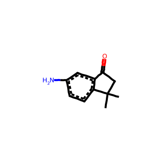 CC1(C)CC(=O)c2cc(N)ccc21